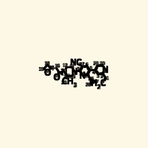 C=Cc1cc(-c2cc(C#N)c(N3CCN(C(=O)C[C@H]4CCO4)[C@H](C)C3)nc2C2CC2)ccn1